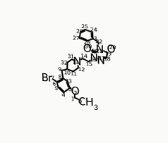 CCOc1ccc(Br)c(CC2CCN(CCn3ncc(=O)n(Cc4ccccc4)c3=O)CC2)c1